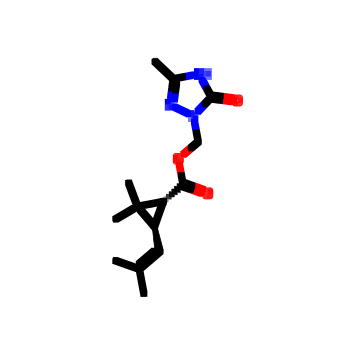 CC(C)=C[C@@H]1[C@@H](C(=O)OCn2nc(C)[nH]c2=O)C1(C)C